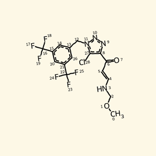 COCNC=CC(=O)c1nnn(Cc2cc(C(F)(F)F)cc(C(F)(F)F)c2)c1Cl